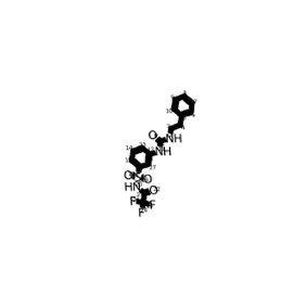 O=C(NCCc1ccccc1)Nc1cccc(S(=O)(=O)NC(=O)C(F)(F)F)c1